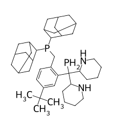 CC(C)(C)c1ccc(CP(C2C3CC4CC(C3)CC2C4)C2C3CC4CC(C3)CC2C4)c(C(P)(C2CCCCN2)C2CCCCN2)c1